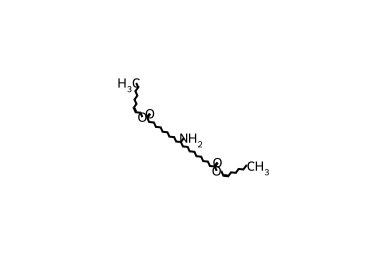 CCCCCC/C=C\COC(=O)CCCCCCCCCC(N)CCCCCCCCCC(=O)OC/C=C\CCCCCC